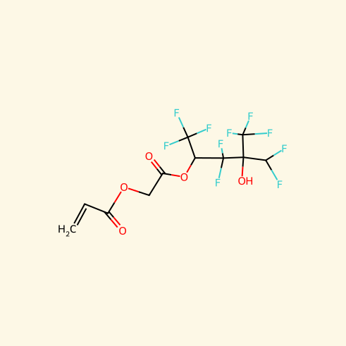 C=CC(=O)OCC(=O)OC(C(F)(F)F)C(F)(F)C(O)(C(F)F)C(F)(F)F